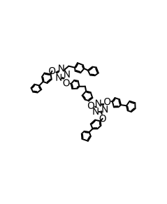 c1ccc(-c2ccc(Cc3nc(Oc4ccc(Cc5ccc(Oc6nc(Oc7ccc(-c8ccccc8)cc7)nc(Oc7ccc(-c8ccccc8)cc7)n6)cc5)cc4)nc(Oc4ccc(-c5ccccc5)cc4)n3)cc2)cc1